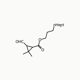 CCCCCCCCCCOC(=O)C1C(C=O)C1(C)C